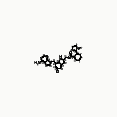 Cn1ccnc1-c1ccccc1C(=O)NCc1cc2cc(Cl)cc(Cn3cnc4c(N)ncnc43)c2[nH]1